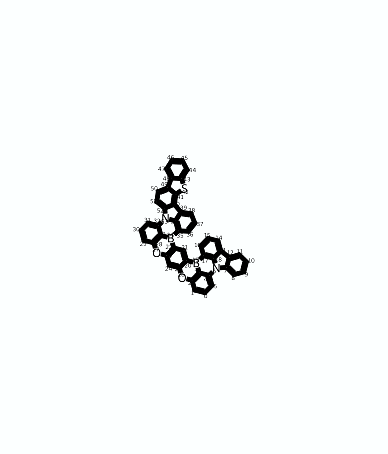 c1cc2c3c(c1)-n1c4ccccc4c4cccc(c41)B3c1cc3c(cc1O2)Oc1cccc2c1B3c1cccc3c4c5sc6ccccc6c5ccc4n-2c13